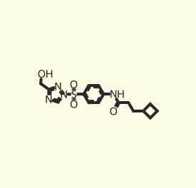 O=C(CCC1CCC1)Nc1ccc(S(=O)(=O)n2cnc(CO)n2)cc1